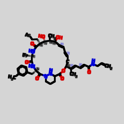 C=CCNC(=O)/C=C/C=C(\C)[C@@H]1C/C=C/C=C/[C@H](O)[C@H](C)[C@@H](O)[C@@H](CCC(C)=O)C(=O)N[C@@H](C(C)C)C(=O)N[C@@H](Cc2cccc(C)c2)C(=O)N2CCCC(N2)C(=O)O1